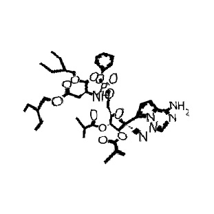 CCC(CC)COC(=O)C[C@H](N[P@](=O)(OC[C@H]1O[C@@](C#N)(c2ccc3c(N)ncnn23)[C@H](OC(=O)C(C)C)[C@@H]1OC(=O)C(C)C)Oc1ccccc1)C(=O)OCC(CC)CC